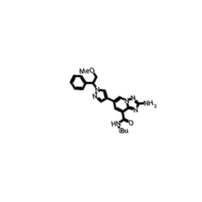 CCC(C)NC(=O)c1cc(-c2cnn(C(COC)c3ccccc3)c2)cn2nc(N)nc12